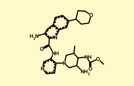 COC(=O)NC1C(C)CN(c2ccncc2NC(=O)c2nc3cc(C4CCOCC4)ccc3cc2N)CC1N